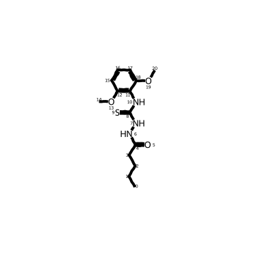 CCCCC(=O)NNC(=S)Nc1c(OC)cccc1OC